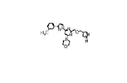 Cc1cccc(-c2ccn(-c3cc(N4CCOCC4)nc(COCc4cn[nH]c4)n3)n2)c1